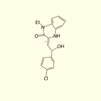 CCN1C(=O)/C(=C/C(O)c2ccc(Cl)cc2)Nc2ccccc21